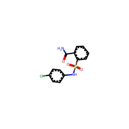 NC(=O)c1ccccc1S(=O)(=O)Nc1ccc(Cl)cc1